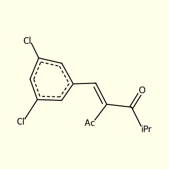 CC(=O)/C(=C\c1cc(Cl)cc(Cl)c1)C(=O)C(C)C